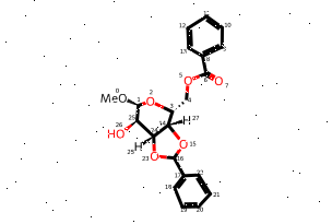 CO[C@H]1O[C@H](COC(=O)c2ccccc2)[C@@H]2OC(c3ccccc3)O[C@@H]2[C@H]1O